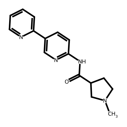 CN1CCC(C(=O)Nc2ccc(-c3ccccn3)cn2)C1